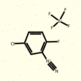 F[B-](F)(F)F.N#[N+]c1cc(Cl)ccc1F